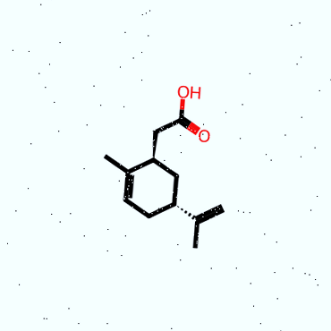 C=C(C)[C@@H]1CC=C(C)[C@@H](CC(=O)O)C1